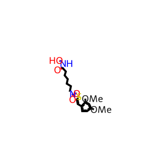 COc1ccc(C=C2ON(CCCCCCC(=O)NO)OS2)c(OC)c1